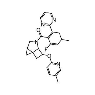 Cc1ccc(OC2CC34CC3CN(C(=O)C3=C(c5ncccn5)CC(C)C=C3F)C24)nc1